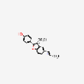 CCOC(=O)/C=C/c1ccc2c(c1)[C@@H](C(=O)OCC)[C@H](c1ccc(O)cc1)O2